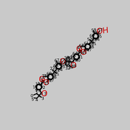 CCC(C)(CC)C(=O)c1cccc(C(=O)Oc2ccc(C(C)(C)c3ccc(OC(CC)(CC)C(C)(CC)C(=O)c4ccc(C(=O)Oc5ccc(C(C)(C)c6ccc(O)c(C)c6)cc5C)cc4)c(C)c3)cc2C)c1